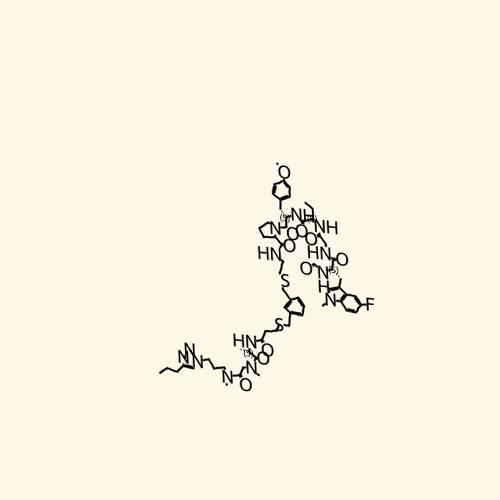 CCCc1cn(CCCN(C)C(=O)CN(C)C(=O)[C@H](C)NC(=O)CCSCc2cccc(CSCCNC(=O)C3CCCN3C(=O)[C@H](Cc3ccc(OC)cc3)NC(=O)[C@H](CC)NC(=O)CNC(=O)[C@H](Cc3cn(C)c4ccc(F)cc34)NC=O)c2)nn1